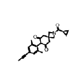 CC#Cc1cc(C)c(C2C(=O)CC3(CC2=O)CN(C(=O)C2CC2)C3)c(C)c1